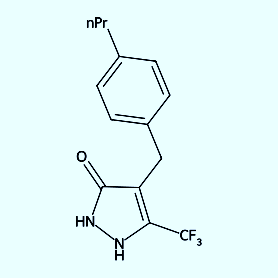 CCCc1ccc(Cc2c(C(F)(F)F)[nH][nH]c2=O)cc1